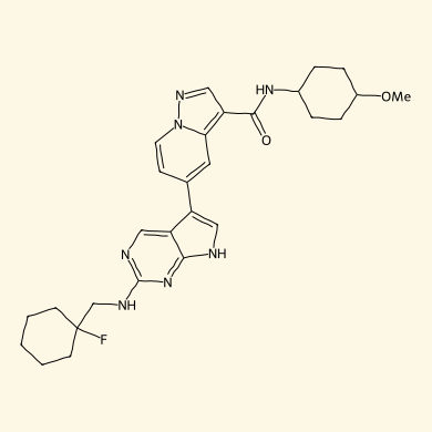 COC1CCC(NC(=O)c2cnn3ccc(-c4c[nH]c5nc(NCC6(F)CCCCC6)ncc45)cc23)CC1